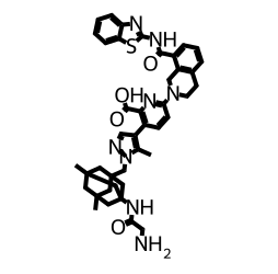 Cc1c(-c2ccc(N3CCc4cccc(C(=O)Nc5nc6ccccc6s5)c4C3)nc2C(=O)O)cnn1CC12CC3(C)CC(C)(C1)CC(NC(=O)CN)(C3)C2